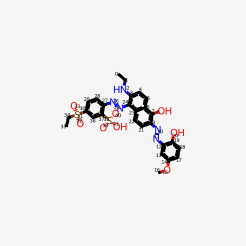 CCNc1ccc2c(O)c(/N=N/c3cc(OC)ccc3O)ccc2c1/N=N/c1ccc(S(=O)(=O)CC)cc1S(=O)(=O)O